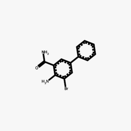 NC(=O)c1cc(-c2ccccc2)cc(Br)c1N